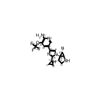 Nc1ncc(-c2cn([C@]34C5NC[C@@H]3[C@H]54)c(C3CC3)n2)cc1OC(F)(F)F